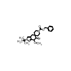 COC1c2nn(C(C)(C)C)cc2CC2(CCN(C(=O)OCc3ccccc3)CC2)C1Br